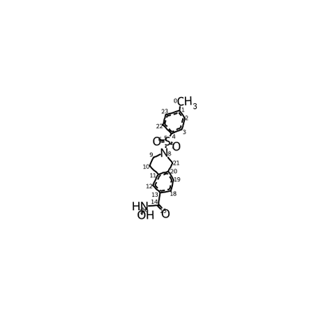 Cc1ccc(S(=O)(=O)N2CCc3cc(C(=O)NO)ccc3C2)cc1